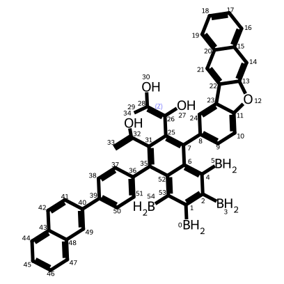 Bc1c(B)c(B)c2c(-c3ccc4oc5cc6ccccc6cc5c4c3)c(/C(O)=C(\C)O)c(C(=C)O)c(-c3ccc(-c4ccc5ccccc5c4)cc3)c2c1B